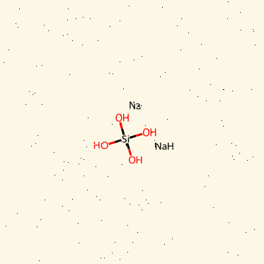 O[Si](O)(O)O.[NaH].[Na]